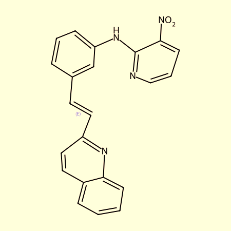 O=[N+]([O-])c1cccnc1Nc1cccc(/C=C/c2ccc3ccccc3n2)c1